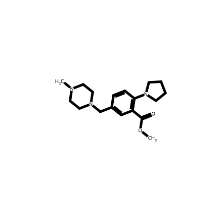 COC(=O)c1cc(CN2CCN(C)CC2)ccc1N1CCCC1